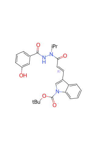 CC(C)N(NC(=O)c1cccc(O)c1)C(=O)/C=C/c1cn(C(=O)OC(C)(C)C)c2ccccc12